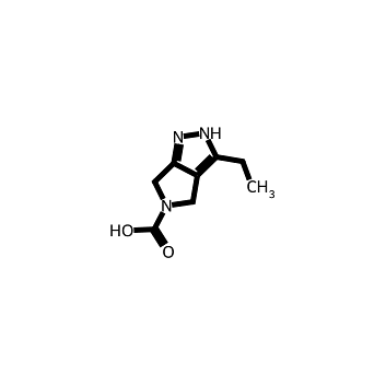 CCc1[nH]nc2c1CN(C(=O)O)C2